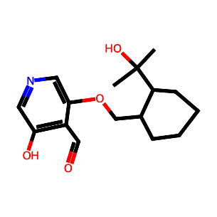 CC(C)(O)C1CCCCC1COc1cncc(O)c1C=O